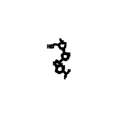 CN1CCN(c2cc(-c3cnc4ccc(C(F)F)nn34)ccn2)CC1CO